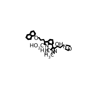 Cc1c(-c2cccc3c(CCCOc4cccc5ccccc45)c(C(=O)O)[nH]c23)c(C(O)CCN2CCOCC2)nn1C